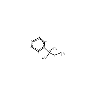 CCCC(C)(CN)c1ccccc1